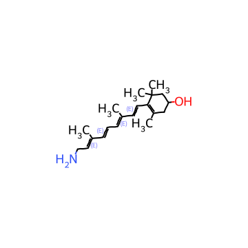 CC1=C(/C=C/C(C)=C/C=C/C(C)=C/CN)C(C)(C)CC(O)C1